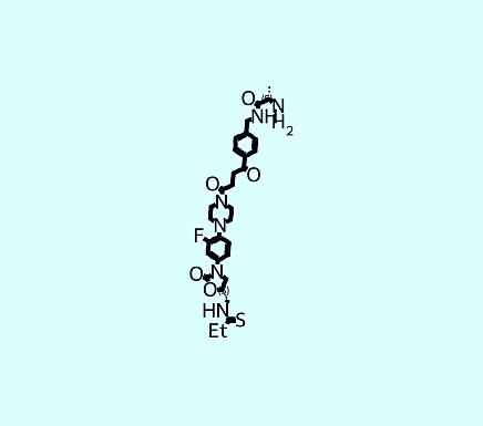 CCC(=S)NC[C@H]1CN(c2ccc(N3CCN(C(=O)CCC(=O)c4ccc(CNC(=O)[C@H](C)N)cc4)CC3)c(F)c2)C(=O)O1